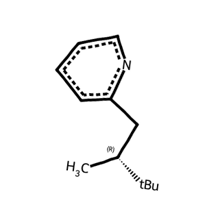 C[C@H](Cc1ccccn1)C(C)(C)C